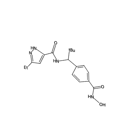 CCc1cc(C(=O)NC(c2ccc(C(=O)NO)cc2)C(C)(C)C)[nH]n1